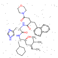 CC[C@@H](C[C@H](O)[C@H](CC1CCCCC1)NC(=O)[C@H](Cc1c[nH]cn1)NC(=O)C(CC(=O)N1CCOCC1)Cc1cccc2ccccc12)C(C)C